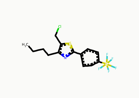 CCCCc1nc(-c2ccc(S(F)(F)(F)(F)F)cc2)sc1CCl